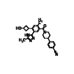 Cc1nnc(-c2cc(C(=O)N3CCC(c4ccc(C#N)cc4)CC3)c(C)cc2C2CC(O)C2)[nH]1